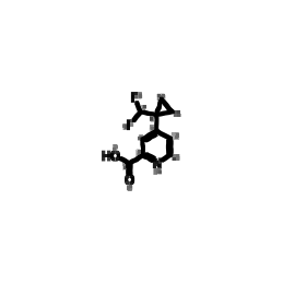 O=C(O)c1cc(C2(C(F)F)CC2)ccn1